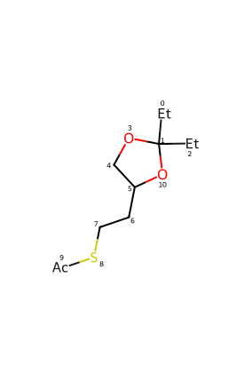 CCC1(CC)OCC(CCSC(C)=O)O1